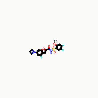 CCOc1cc(F)c(F)cc1S(=O)(=O)NC(=O)c1cc2c(F)cc(N3CCC3)cc2o1